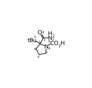 CC(C)(C)C1(C(N)=O)CCCN1C(=O)O